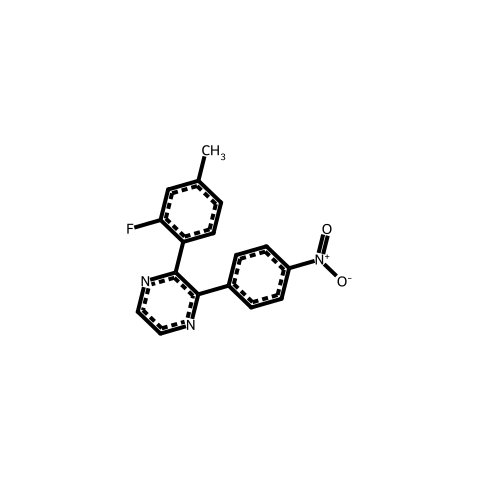 Cc1ccc(-c2nccnc2-c2ccc([N+](=O)[O-])cc2)c(F)c1